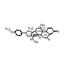 COc1ccc(N2C[C@@H]3C[C@H]4[C@@H]5C[C@H](F)C6=CC(=O)C=C[C@]6(C)[C@@]5(F)[C@@H](O)C[C@]4(C)[C@]3(C(=O)CO)C2)cc1